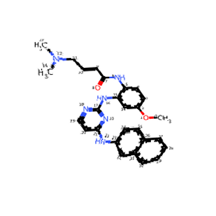 COc1ccc(NC(=O)/C=C/CN(C)C)c(Nc2nccc(Nc3ccc4ccccc4c3)n2)c1